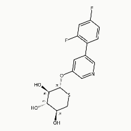 O[C@@H]1[C@@H](O)[C@H](Oc2cncc(-c3ccc(F)cc3F)c2)SC[C@H]1O